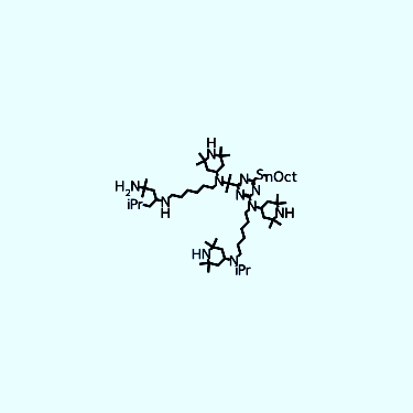 CCCCCCCCSc1nc(N(CCCCCCN(C(C)C)C2CC(C)(C)NC(C)(C)C2)C2CC(C)(C)NC(C)(C)C2)nc(C(C)(C)N(CCCCCCNC(CC(C)C)CC(C)(C)N)C2CC(C)(C)NC(C)(C)C2)n1